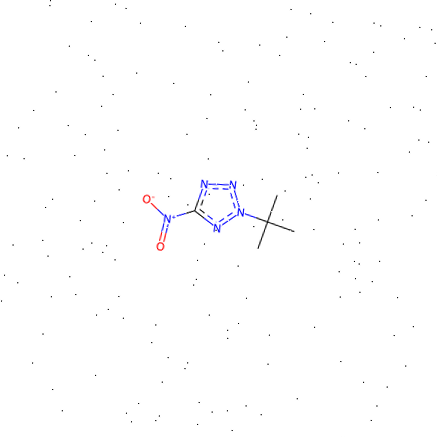 CC(C)(C)n1nnc([N+](=O)[O-])n1